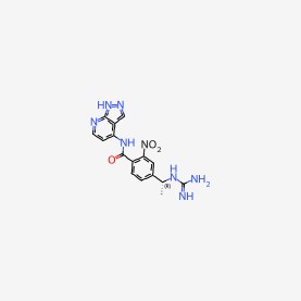 C[C@@H](NC(=N)N)c1ccc(C(=O)Nc2ccnc3[nH]ncc23)c([N+](=O)[O-])c1